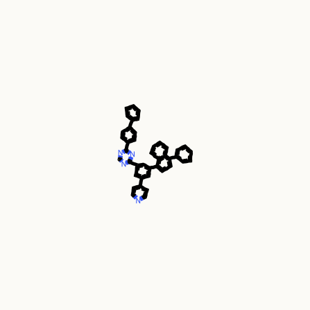 c1ccc(-c2ccc(-c3ncnc(-c4cc(-c5ccncc5)cc(-c5ccc(-c6ccccc6)c6ccccc56)c4)n3)cc2)cc1